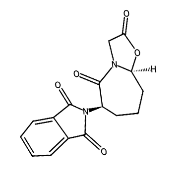 O=C1CN2C(=O)[C@H](N3C(=O)c4ccccc4C3=O)CCC[C@@H]2O1